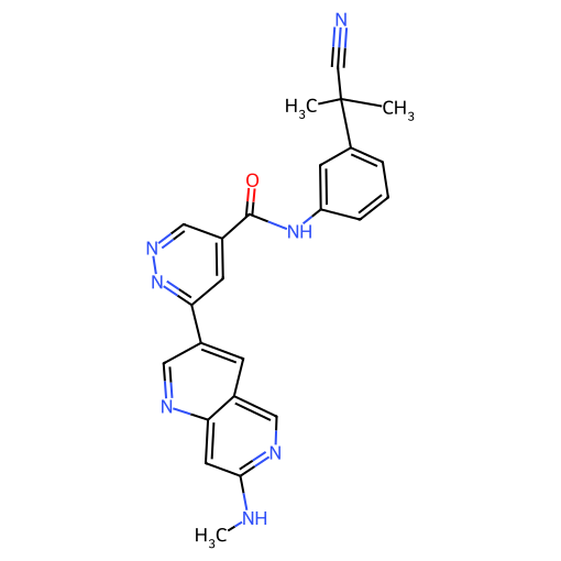 CNc1cc2ncc(-c3cc(C(=O)Nc4cccc(C(C)(C)C#N)c4)cnn3)cc2cn1